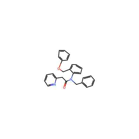 O=C(Cc1ccccn1)N(Cc1ccccc1)c1ccccc1COc1ccccc1